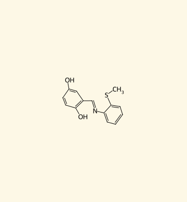 CSc1ccccc1N=Cc1cc(O)ccc1O